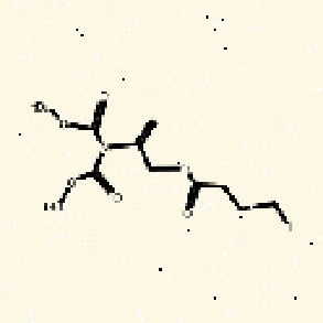 C=C(COC(=O)CCCI)N(C(=O)OC(C)(C)C)C(=O)OC(C)(C)C